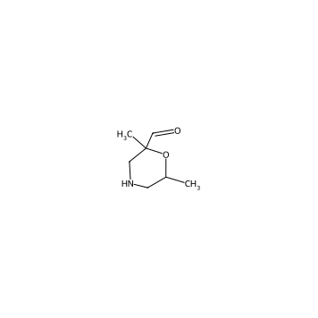 CC1CNCC(C)(C=O)O1